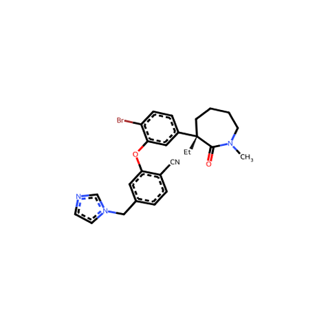 CC[C@@]1(c2ccc(Br)c(Oc3cc(Cn4ccnc4)ccc3C#N)c2)CCCCN(C)C1=O